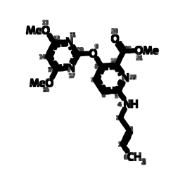 C/C=C/CNc1ccc(Oc2nc(OC)cc(OC)n2)c(C(=O)OC)n1